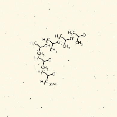 CC(C)O.CC(C)[O-].CC(C)[O-].CC(C)[O-].CC(C)[O-].CC(C)[O-].[Zr+5]